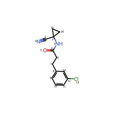 N#CC1(NC(=O)CCc2cccc(Cl)c2)CC1